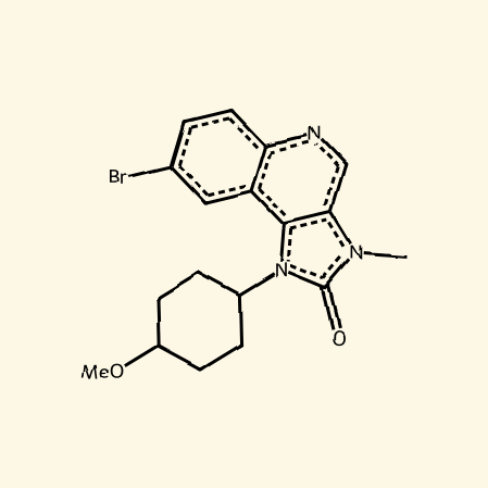 COC1CCC(n2c(=O)n(C)c3cnc4ccc(Br)cc4c32)CC1